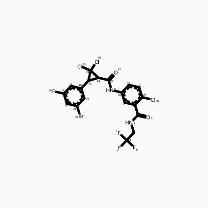 O=C(NCC(F)(F)F)c1cc(NC(=O)C2C(c3cc(F)cc(Br)c3)C2(Cl)Cl)ccc1Cl